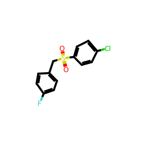 O=S(=O)(Cc1ccc(F)cc1)c1ccc(Cl)cc1